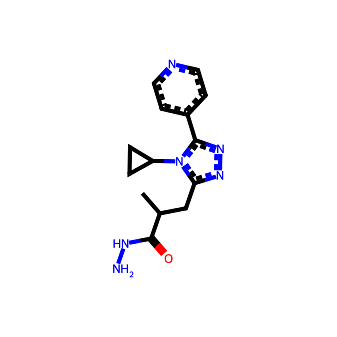 CC(Cc1nnc(-c2ccncc2)n1C1CC1)C(=O)NN